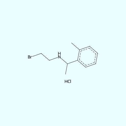 Cc1ccccc1C(C)NCCBr.Cl